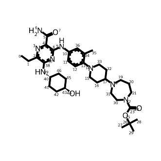 CCc1nc(C(N)=O)c(Nc2ccc(N3CCC(N4CCCN(C(=O)OC(C)(C)C)CC4)CC3)c(C)c2)nc1N[C@H]1CC[C@H](O)CC1